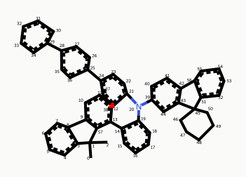 CC1(C)c2ccccc2-c2cccc(-c3ccccc3N(c3ccc(-c4ccc(-c5ccccc5)cc4)cc3)c3ccc4c(c3)C3(CCCCC3)c3ccccc3-4)c21